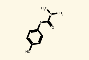 CN(C)C(=O)Sc1ccc(O)cc1